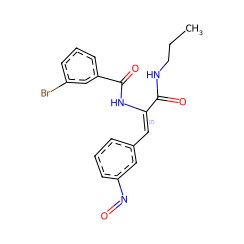 CCCNC(=O)/C(=C/c1cccc(N=O)c1)NC(=O)c1cccc(Br)c1